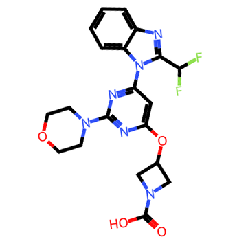 O=C(O)N1CC(Oc2cc(-n3c(C(F)F)nc4ccccc43)nc(N3CCOCC3)n2)C1